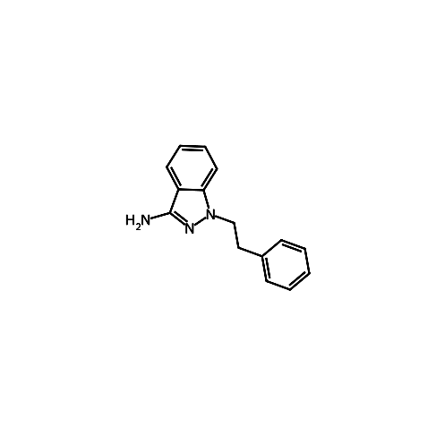 Nc1nn(CCc2ccccc2)c2ccccc12